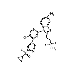 CS(=O)(=O)CCn1nc2cc(N)ccc2c1-c1ncc(Cl)c(-c2cnn(S(=O)(=O)C3CC3)c2)n1